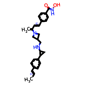 C=C(/C=C/c1ccc(C(=O)NO)cc1)N1CC(CNC2CC2c2ccc(/C=C/C)cc2)C1